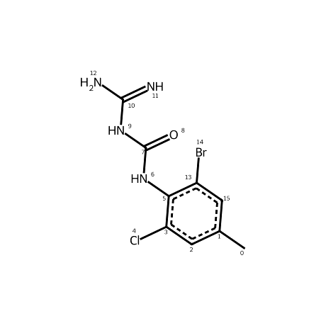 Cc1cc(Cl)c(NC(=O)NC(=N)N)c(Br)c1